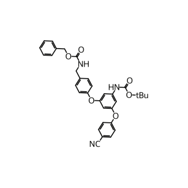 CC(C)(C)OC(=O)Nc1cc(Oc2ccc(C#N)cc2)cc(Oc2ccc(CNC(=O)OCc3ccccc3)cc2)c1